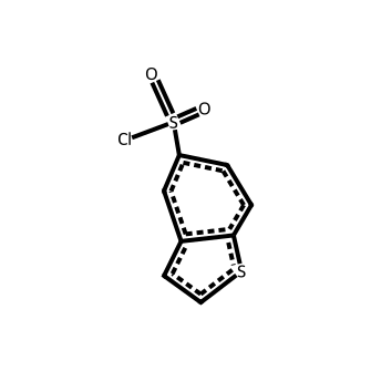 O=S(=O)(Cl)c1ccc2sccc2c1